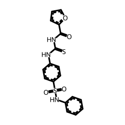 O=C(NC(=S)Nc1ccc(S(=O)(=O)Nc2ccccc2)cc1)c1ccco1